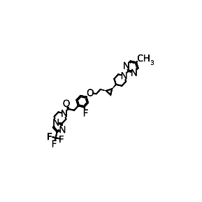 Cc1cnc(N2CCC([C@H]3C[C@H]3CCOc3ccc(CC(=O)N4CCn5cc(C(F)(F)F)nc5C4)c(F)c3)CC2)nc1